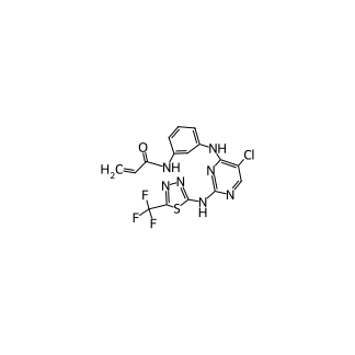 C=CC(=O)Nc1cccc(Nc2nc(Nc3nnc(C(F)(F)F)s3)ncc2Cl)c1